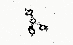 Fc1ccc(CN2CC[C@H](c3ccc(F)cc3)[C@@H](COc3ccc(F)cc3)C2)cc1